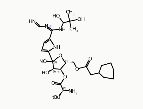 CC(C)(O)C(O)N/C(=N/C=N)c1ccc([C@]2(C#N)O[C@H](COC(=O)CC3CCCCC3)[C@@H](OC(=O)[C@@H](N)C(C)(C)C)[C@H]2O)[nH]1